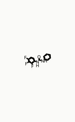 O=C(Nc1ccccc1)Nc1ccc(F)c(F)c1F